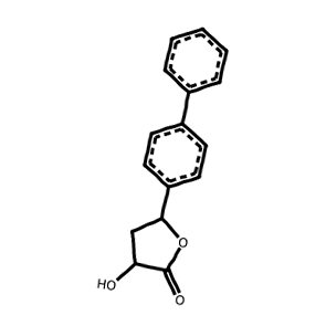 O=C1OC(c2ccc(-c3ccccc3)cc2)CC1O